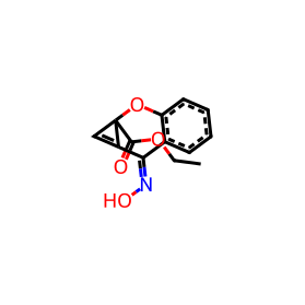 CCOC(=O)C12C=C1C(=NO)c1ccccc1O2